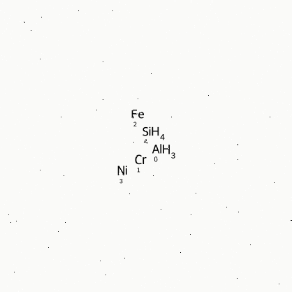 [AlH3].[Cr].[Fe].[Ni].[SiH4]